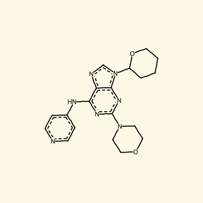 c1cc(Nc2nc(N3CCOCC3)nc3c2ncn3C2CCCCO2)ccn1